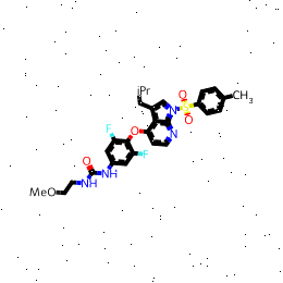 COCCNC(=O)Nc1cc(F)c(Oc2ccnc3c2c(CC(C)C)cn3S(=O)(=O)c2ccc(C)cc2)c(F)c1